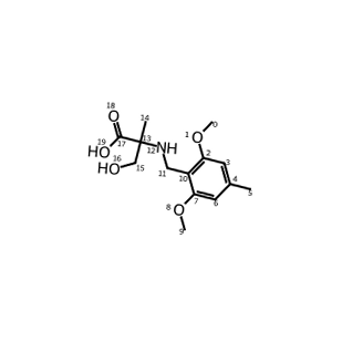 COc1cc(C)cc(OC)c1CNC(C)(CO)C(=O)O